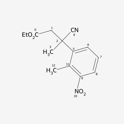 CCOC(=O)CC(C)(C#N)c1cccc([N+](=O)[O-])c1C